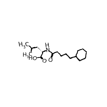 CC(C)C[C@H](NC(=O)CCCCC1CCCCC1)C(=O)O